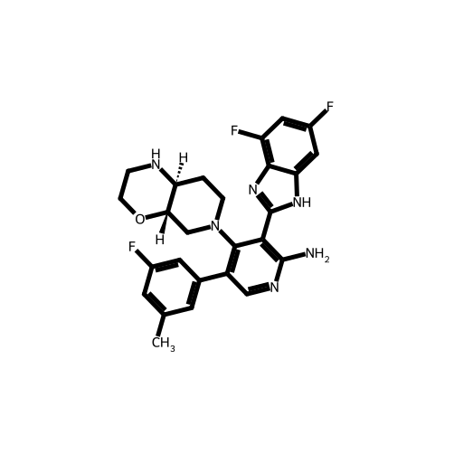 Cc1cc(F)cc(-c2cnc(N)c(-c3nc4c(F)cc(F)cc4[nH]3)c2N2CC[C@@H]3NCCO[C@H]3C2)c1